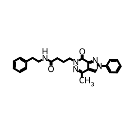 Cc1nn(CCCC(=O)NCCc2ccccc2)c(=O)c2nn(-c3ccccc3)cc12